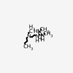 CCCCN(CC)CCN[SiH](NC)NC